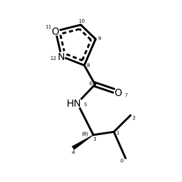 CC(C)[C@@H](C)NC(=O)c1ccon1